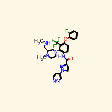 CNC[C@H]1CN(c2c(NC(=O)c3ccn(-c4ccnnc4)n3)ccc(Oc3ccccc3F)c2C(F)(F)F)CCN1C